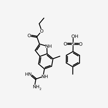 CCOC(=O)c1cc2cc(NC(=N)N)cc(C)c2[nH]1.Cc1ccc(S(=O)(=O)O)cc1